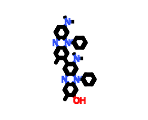 Cc1cc2nc3cc(-c4cc5c(cc4C)nc4ccc(N(C)C)cc4[n+]5-c4ccccc4)c(N(C)C)cc3[n+](-c3ccccc3)c2cc1O